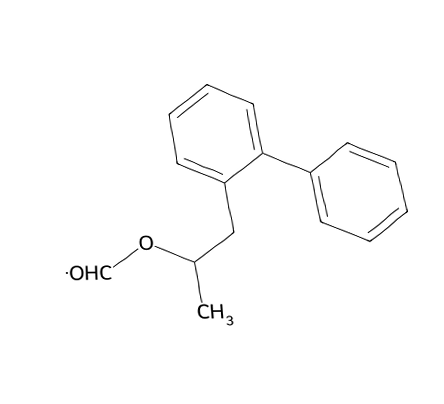 CC(Cc1ccccc1-c1ccccc1)O[C]=O